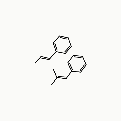 CC(C)=Cc1ccccc1.CC=Cc1ccccc1